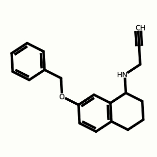 C#CCNC1CCCc2ccc(OCc3ccccc3)cc21